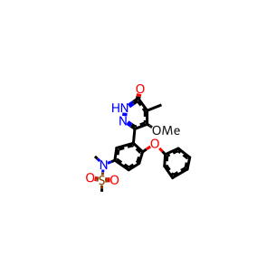 COc1c(-c2cc(N(C)S(C)(=O)=O)ccc2Oc2ccccc2)n[nH]c(=O)c1C